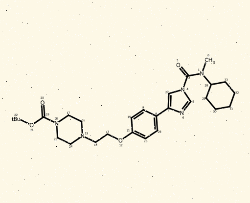 CN(C(=O)n1cnc(-c2ccc(OCCN3CCN(C(=O)OC(C)(C)C)CC3)cc2)c1)C1CCCCC1